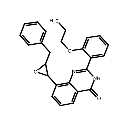 CCCOc1ccccc1-c1nc2c(C3OC3Cc3ccccc3)cccc2c(=O)[nH]1